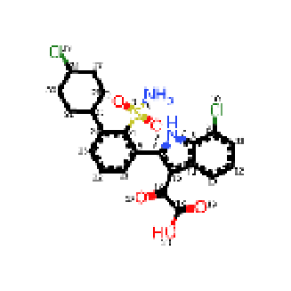 NS(=O)(=O)c1c(-c2[nH]c3c(Cl)cccc3c2C(=O)C(=O)O)cccc1C1CCC(Cl)CC1